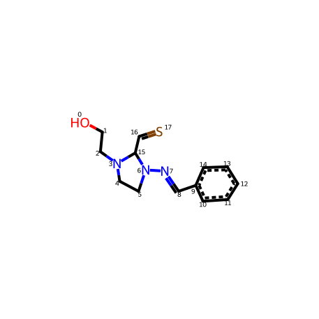 OCCN1CCN(N=Cc2ccccc2)C1C=S